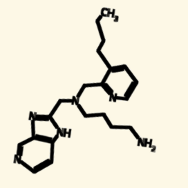 CCCCc1cccnc1CN(CCCCN)Cc1nc2cnccc2[nH]1